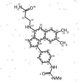 CNC(=O)Nc1ccc(-c2cnc3c(NCCC(N)=O)nc4cc(C)c(C)cc4n23)cc1